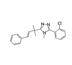 Cn1c(-c2ccccc2Cl)nnc1C(C)(C)/C=C/c1ccccc1